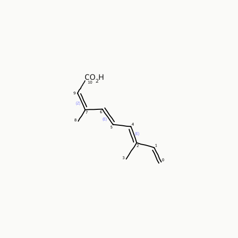 C=C/C(C)=C/C=C/C(C)=C\C(=O)O